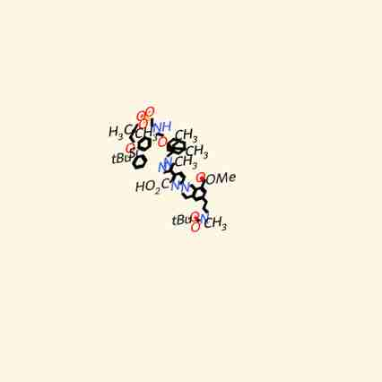 COC(=O)c1cc(CCCN(C)C(=O)OC(C)(C)C)cc2c1CN(c1ccc(-c3cnn(CC45CC6(C)CC(C)(C4)CC(OCCNCCS(=O)(=O)OCC(C)(C)CCO[Si](c4ccccc4)(c4ccccc4)C(C)(C)C)(C6)C5)c3C)c(C(=O)O)n1)CC2